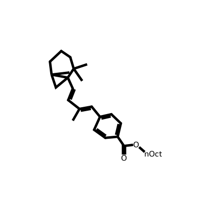 CCCCCCCCOC(=O)c1ccc(C=C(C)C=CC23CC2(C)CCCC3(C)C)cc1